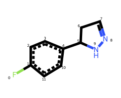 Fc1ccc(C2CC=NN2)cc1